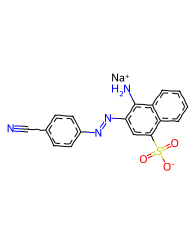 N#Cc1ccc(N=Nc2cc(S(=O)(=O)[O-])c3ccccc3c2N)cc1.[Na+]